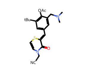 CC(=O)Oc1c(CN(C)C)cc(C=C2SC=CN(CC#N)C2=O)cc1C(C)(C)C